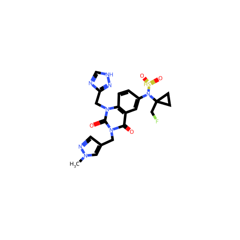 Cn1cc(Cn2c(=O)c3cc(N([SH](=O)=O)C4(CF)CC4)ccc3n(Cc3nc[nH]n3)c2=O)cn1